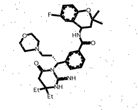 CCC1(CC)CC(=O)N([C@H](CCN2CCOCC2)c2cccc(C(=O)NC3CC(C)(C)Oc4ccc(F)cc43)c2)C(=N)N1